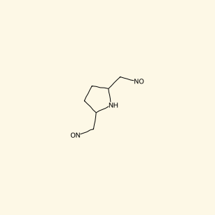 O=NCC1CCC(CN=O)N1